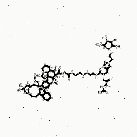 CCC(=O)N[C@@H](C)C(=O)C[C@@H](Cc1cn(CCO[C@@H]2OC(C(=O)O)[C@@H](O)[C@H](O)C2O)nn1)C(=O)NCCSSCCOC(=O)NNC(=O)[C@@]1(O)[C@H](O)[C@]2(CC)C=CCN3CC[C@@]4(c5cc([C@@]6(COC=O)C[C@@H]7CN(CCc8c6[nH]c6ccccc86)C[C@](O)(CC)C7)c(OC)cc5N(C)[C@@H]14)[C@@H]32